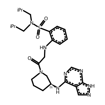 CC(C)CN(CC(C)C)S(=O)(=O)c1ccccc1NCC(=O)N1CCC[C@H](Nc2ncnc3[nH]ncc23)C1